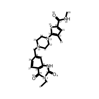 CCn1c(=O)[nH]c2cc(CN3CCN(c4sc(C(=O)NC)cc4C)CC3)ccc2c1=O